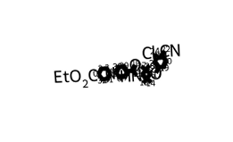 CCOC(=O)C1CCN(c2ccc(C(=O)NC3C(C)(C)C(Oc4ccc(C#N)c(Cl)c4)C3(C)C)cc2)CC1